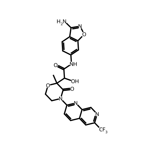 CC1(C(O)C(=O)Nc2ccc3c(N)noc3c2)OCCN(c2ccc3cc(C(F)(F)F)ncc3n2)C1=O